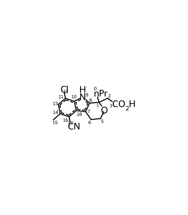 CCCC1(CC(=O)O)OCCc2c1[nH]c1c(Cl)cc(C)c(C#N)c21